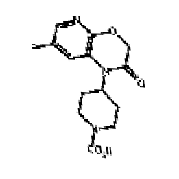 O=C(O)N1CCC(N2C(=O)COc3ncc(F)cc32)CC1